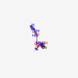 Cc1ncsc1-c1ccc(CNC(=O)[C@@H]2C[C@@H](O)CN2C(=O)[C@@H](NC(=O)C2(F)CC2)C(C)(C)C)c(OCC(=O)NCCCCCCCCNC(=O)c2ccc(C(=O)Nc3ccc4[nH]c(CN5CCC[C@@H]5C)nc4c3)cc2)c1